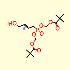 CC(C)(C)C(=O)OCOP(=O)(C/C=C/CO)OCOC(=O)C(C)(C)C